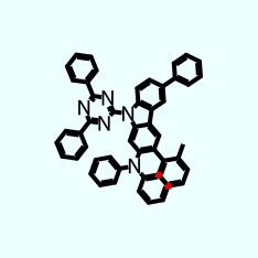 Cc1ccccc1-c1cc2c3cc(-c4ccccc4)ccc3n(-c3nc(-c4ccccc4)nc(-c4ccccc4)n3)c2cc1N(c1ccccc1)c1ccccc1